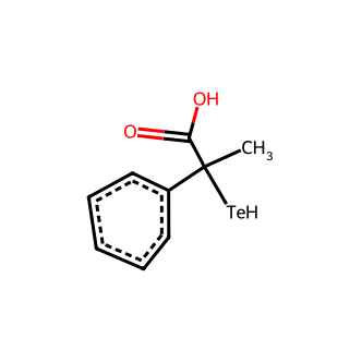 CC([TeH])(C(=O)O)c1ccccc1